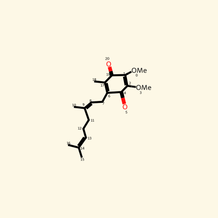 COC1=C(OC)C(=O)C(CC=C(C)CCC=C(C)C)=C(C)C1=O